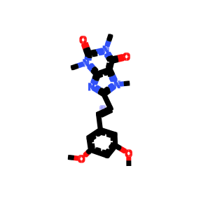 COc1cc(/C=C/c2nc3c(c(=O)n(C)c(=O)n3C)n2C)cc(OC)c1